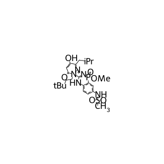 COP1(=O)N=C([N+]2(CCC(C)(C)C)N=C(CC(C)C)C(O)=CC2=O)Nc2ccc(NS(C)(=O)=O)cc21